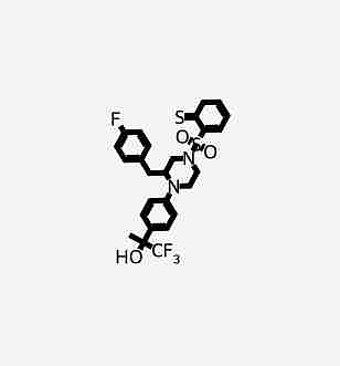 CC(O)(c1ccc(N2CCN(S(=O)(=O)C3=CC=CCC3=S)CC2Cc2ccc(F)cc2)cc1)C(F)(F)F